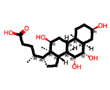 C[C@H](CCC(=O)O)[C@H]1CC[C@H]2[C@@H]3[C@@H](O)[C@@H](O)[C@@H]4C[C@H](O)CC[C@]4(C)[C@H]3C[C@H](O)[C@]12C